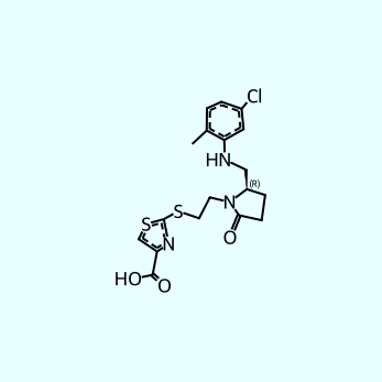 Cc1ccc(Cl)cc1NC[C@H]1CCC(=O)N1CCSc1nc(C(=O)O)cs1